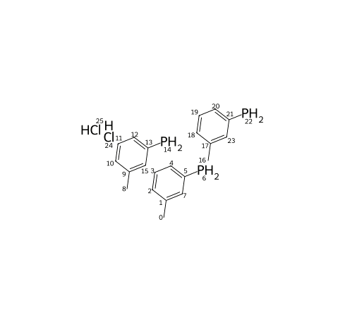 Cc1cccc(P)c1.Cc1cccc(P)c1.Cc1cccc(P)c1.Cl.Cl